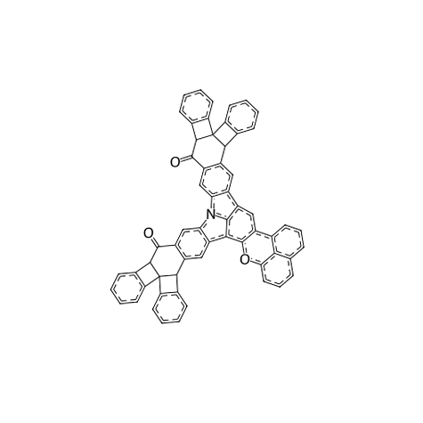 O=C1c2cc3c(cc2C2c4ccccc4C24c2ccccc2C14)c1cc2c4cccc5cccc(oc2c2c6cc7c(cc6n3c12)C(=O)C1c2ccccc2C12c1ccccc1C72)c54